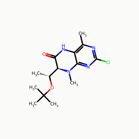 Cc1nc(Cl)nc2c1NC(=O)[C@H]([C@@H](C)OC(C)(C)C)N2C